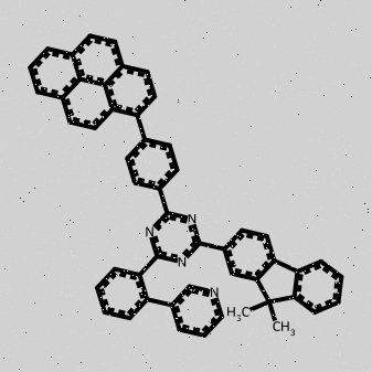 CC1(C)c2ccccc2-c2ccc(-c3nc(-c4ccc(-c5ccc6ccc7cccc8ccc5c6c78)cc4)nc(-c4ccccc4-c4cccnc4)n3)cc21